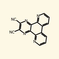 N#Cc1nc2c3ncccc3c3cccnc3c2nc1C#N